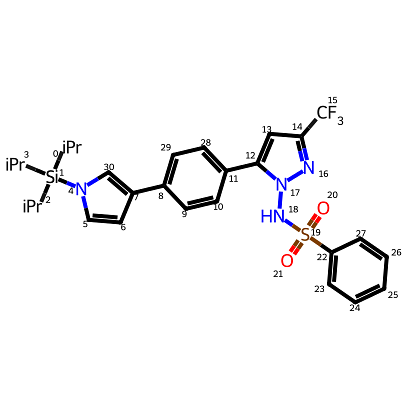 CC(C)[Si](C(C)C)(C(C)C)n1ccc(-c2ccc(-c3cc(C(F)(F)F)nn3NS(=O)(=O)c3ccccc3)cc2)c1